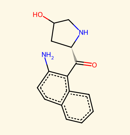 Nc1ccc2ccccc2c1C(=O)[C@@H]1CC(O)CN1